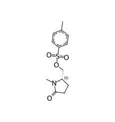 Cc1ccc(S(=O)(=O)OC[C@@H]2CCC(=O)N2C)cc1